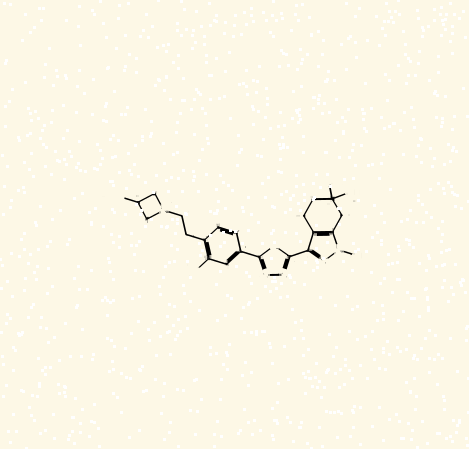 Cn1nc(-c2nnc(-c3ccc(CCN4CC(C(=O)O)C4)c(C(F)(F)F)c3)s2)c2c1CC(C)(C)CC2